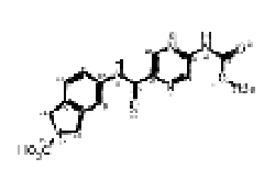 CC(C)(C)OC(=O)Nc1cnc(C(=O)Nc2ccc3c(c2)CN(C(=O)O)C3)cn1